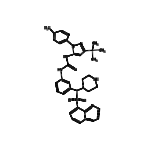 Cc1ccc(-n2nc(C(C)(C)C)cc2NC(=O)Nc2cccc(C(C3CCNCC3)S(=O)(=O)c3cccc4cccnc34)c2)cc1